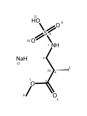 COC(=O)[C@@H](C)CNS(=O)(=O)O.[NaH]